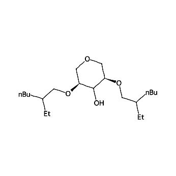 CCCCC(CC)CO[C@H]1COC[C@@H](OCC(CC)CCCC)C1O